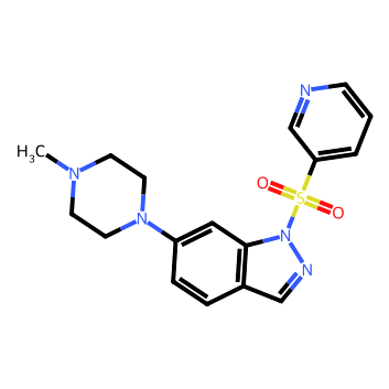 CN1CCN(c2ccc3cnn(S(=O)(=O)c4cccnc4)c3c2)CC1